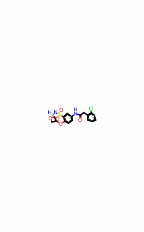 NS(=O)(=O)c1cc(NC(=O)Cc2ccccc2Cl)ccc1OC1COC1